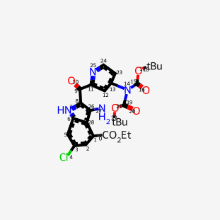 CCOC(=O)c1cc(Cl)cc2[nH]c(C(=O)c3cc(N(C(=O)OC(C)(C)C)C(=O)OC(C)(C)C)ccn3)c(N)c12